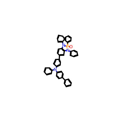 O=P1(c2ccccc2)N(C2=CC=CCC2)c2ccc(-c3ccc(N(c4ccccc4)c4ccc(-c5ccccc5)cc4)cc3)cc2N1c1ccccc1